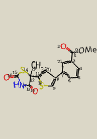 COC(=O)c1cccc(-c2csc(C3(C)SC(=O)NC3=O)c2)c1